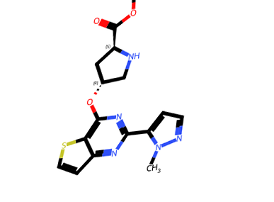 COC(=O)[C@@H]1C[C@@H](Oc2nc(-c3ccnn3C)nc3ccsc23)CN1